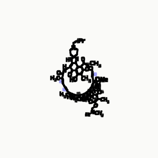 CCN(C)COC(=O)C(C)C(=O)O[C@H]1[C@H](C)[C@H](O)[C@H](C)[C@@H](O)[C@@H](C)/C=C/C=C(/C)C(=O)NC2=C3NC4(CCN(CC(C)C)CC4)N=C3c3c(c(O)c(C)c4c3C(=O)[C@@](C)(O/C=C/[C@H](OC)[C@H]1C)O4)C2=O